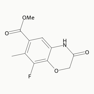 COC(=O)c1cc2c(c(F)c1C)OCC(=O)N2